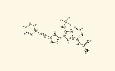 CC(C)(C)Nc1c(-c2ccc(C#Cc3ccccc3)s2)nc2c(OC(=O)O)nccn12